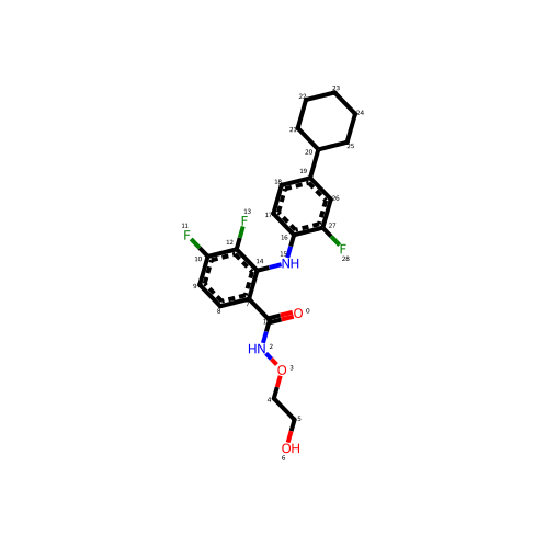 O=C(NOCCO)c1ccc(F)c(F)c1Nc1ccc(C2CCCCC2)cc1F